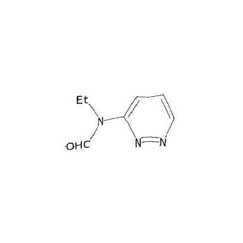 CCN([C]=O)c1cccnn1